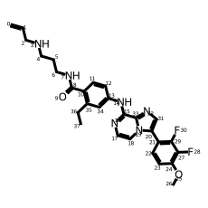 C=CCNCCCNC(=O)c1ccc(Nc2nccn3c(-c4ccc(OC)c(F)c4F)cnc23)cc1CC